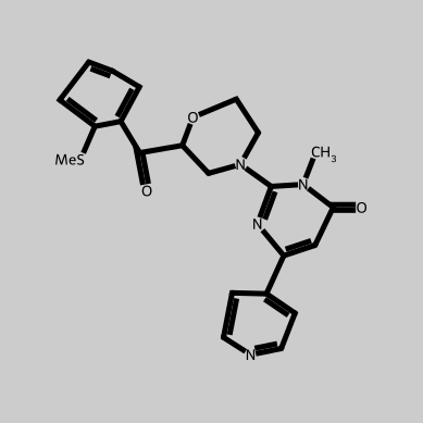 CSc1ccccc1C(=O)C1CN(c2nc(-c3ccncc3)cc(=O)n2C)CCO1